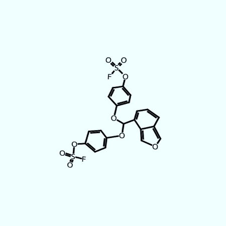 O=S(=O)(F)Oc1ccc(OC(Oc2ccc(OS(=O)(=O)F)cc2)c2cccc3cocc23)cc1